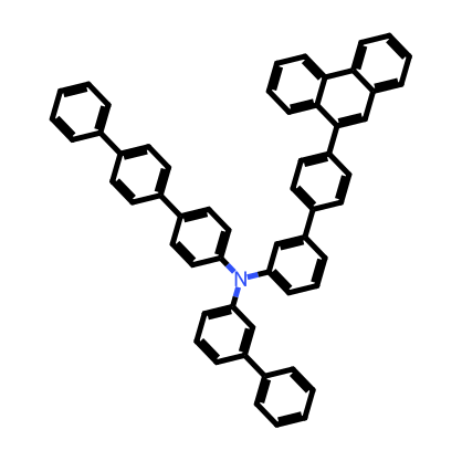 c1ccc(-c2ccc(-c3ccc(N(c4cccc(-c5ccccc5)c4)c4cccc(-c5ccc(-c6cc7ccccc7c7ccccc67)cc5)c4)cc3)cc2)cc1